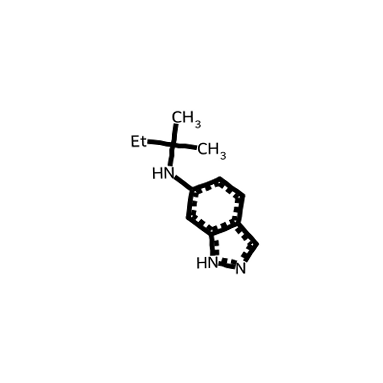 CCC(C)(C)Nc1ccc2cn[nH]c2c1